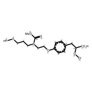 CCCOCCCN(CCOc1ccc(CC(OCC)C(=O)O)cc1)C(=O)OC